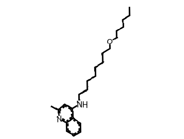 CCCCCCOCCCCCCCCNc1cc(C)nc2ccccc12